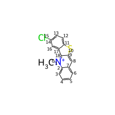 C[n+]1c2ccccc2cc2sc3ccc(Cl)cc3c21